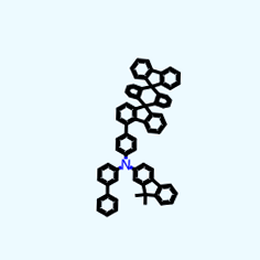 CC1(C)c2ccccc2-c2ccc(N(c3ccc(-c4cccc5c4-c4ccccc4C54c5ccccc5C5(c6ccccc6-c6ccccc65)c5ccccc54)cc3)c3cccc(-c4ccccc4)c3)cc21